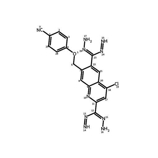 N#Cc1ccc(OCc2cc3nc(C(N=N)=NN)cc(Cl)c3cc2C(N=N)=NN)cc1